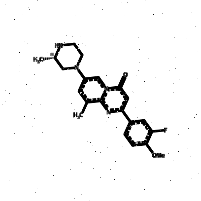 COc1ccc(-c2cc(=O)n3cc(N4CCN[C@@H](C)C4)cc(C)c3n2)cc1F